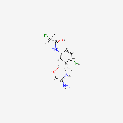 CC(C)(F)C(=O)Nc1ccc(F)c([C@]2(C)COCC(N)=N2)c1